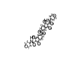 O=C(NC1CCOCC1)C1C(=O)c2ccc(S(=O)(=O)c3ccc4c(c3)C(=O)C(C(=O)NC3CCOCC3)C4=O)cc2C1=O